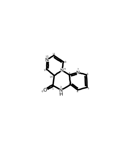 O=C1Nc2cccnc2N2C=CN=CC12